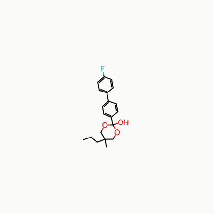 CCCC1(C)COC(O)(c2ccc(-c3ccc(F)cc3)cc2)OC1